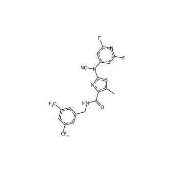 Cc1sc(N(C#N)c2cc(F)nc(F)c2)nc1C(=O)NCc1cc(C(F)(F)F)cc(C(F)(F)F)c1